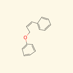 C(=C/c1ccccc1)/COc1ccccc1